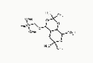 COP(=O)(COC1OC(C)(C)OC2C(C(=O)O)OC(C)(C)OC12)OC